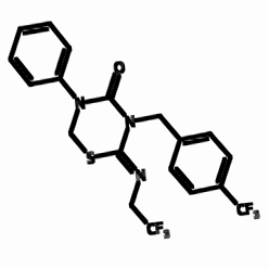 O=C1N(Cc2ccc(C(F)(F)F)cc2)C(=NCC(F)(F)F)SCN1c1ccccc1